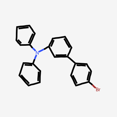 Brc1ccc(-c2cccc(N(c3ccccc3)c3ccccc3)c2)cc1